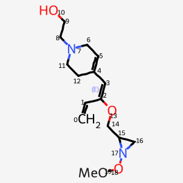 C=C/C(=C\C1=CCN(CCO)CC1)OCC1CN1OOC